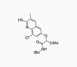 COC(Oc1cc(Cl)c2nc(S)c(C)cc2c1)C(=O)NC(C)(C)C